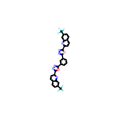 FC(F)(F)c1ccc2ccc(-c3nnc(-c4cccc(-c5nnc(-c6ccc7ccc(C(F)(F)F)cc7n6)o5)c4)o3)nc2c1